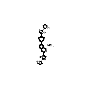 Cl.N.N.c1cc(-c2cnc([C@@H]3CCCN3)[nH]2)ccc1-c1ccc2cc(-c3cnc([C@@H]4CCCN4)[nH]3)ncc2c1